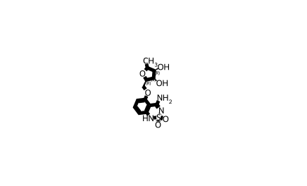 CC1O[C@H](COc2cccc3c2C(N)=NS(=O)(=O)N3)[C@@H](O)[C@H]1O